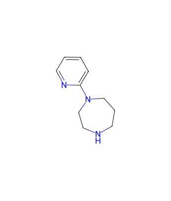 c1ccc(N2CCCNCC2)nc1